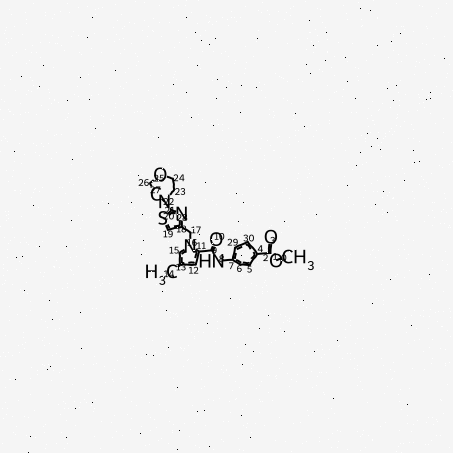 COC(=O)c1ccc(NC(=O)c2cc(C)cn2Cc2csc(N3CCOCC3)n2)cc1